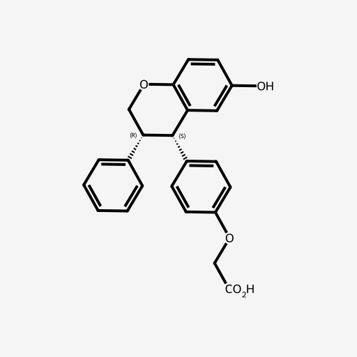 O=C(O)COc1ccc([C@H]2c3cc(O)ccc3OC[C@H]2c2ccccc2)cc1